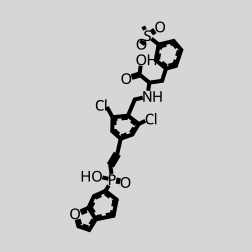 CS(=O)(=O)c1cccc(CC(NCc2c(Cl)cc(C#CP(=O)(O)c3ccc4ccoc4c3)cc2Cl)C(=O)O)c1